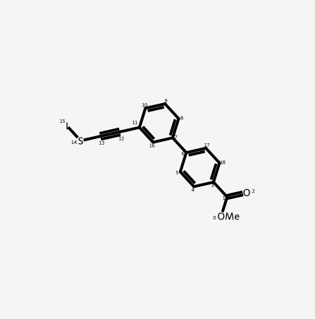 COC(=O)c1ccc(-c2cccc(C#CSI)c2)cc1